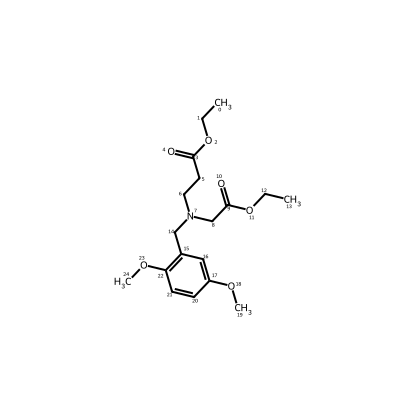 CCOC(=O)CCN(CC(=O)OCC)Cc1cc(OC)ccc1OC